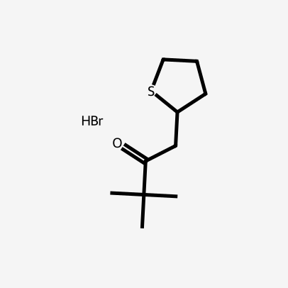 Br.CC(C)(C)C(=O)CC1CCCS1